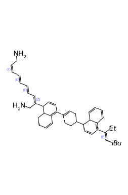 CC/C(=C\C(C)CC)C1=C2C=CC=CC2C(C2CC=C(C3=C4C=CCCC4C(/C(=C/C=C/C=C/C=C\CN)CN)C=C3)CC2)C=C1